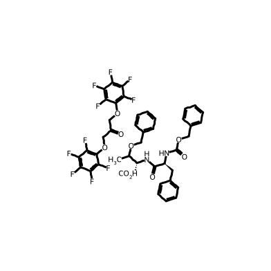 CC(OCc1ccccc1)[C@H](NC(=O)[C@H](Cc1ccccc1)NC(=O)OCc1ccccc1)C(=O)O.O=C(COc1c(F)c(F)c(F)c(F)c1F)COc1c(F)c(F)c(F)c(F)c1F